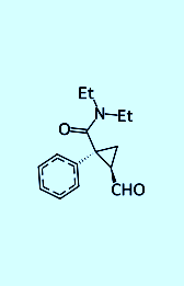 CCN(CC)C(=O)[C@@]1(c2ccccc2)C[C@H]1C=O